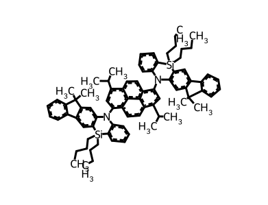 CCCC[Si]1(CCCC)c2ccccc2N(c2cc(C(C)C)c3ccc4c(N5c6ccccc6[Si](CCCC)(CCCC)c6cc7c(cc65)C(C)(C)c5ccccc5-7)cc(C(C)C)c5ccc2c3c54)c2cc3c(cc21)-c1ccccc1C3(C)C